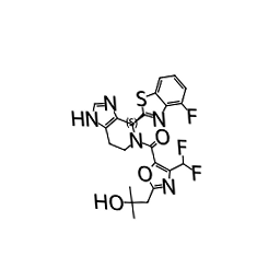 CC(C)(O)Cc1nc(C(F)F)c(C(=O)N2CCc3[nH]cnc3[C@H]2c2nc3c(F)cccc3s2)o1